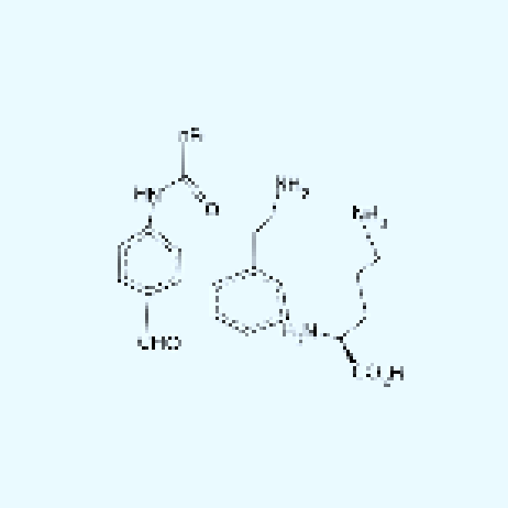 CCCC(=O)Nc1ccc(C=O)cc1.NCCC[C@H](N)C(=O)O.NCCc1ccccc1